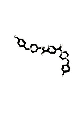 O=C(NC1CCN(Cc2ccc(Cl)cc2)CC1)c1ccc(C(=O)N2CCN(Cc3ccc(F)cc3)CC2)cn1